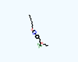 CCCCCCCCCCOc1cnc(-c2ccc(CC=C(OCCCC)C(F)(F)F)cc2)nc1